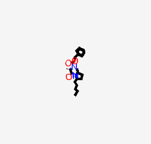 CCCCCC1CC=C2CN(C(=O)OCc3ccccc3)[C@@H](C)C(=O)N21